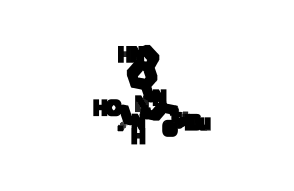 CCC(C)[S+]([O-])Cc1cc(N[C@H](C)CO)nc(-c2ccc3[nH]ccc3c2)n1